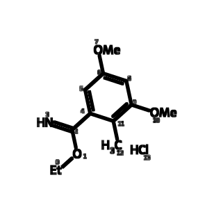 CCOC(=N)c1cc(OC)cc(OC)c1C.Cl